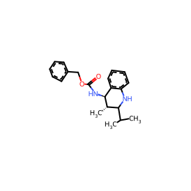 CC(C)C1Nc2ccccc2[C@H](NC(=O)OCc2ccccc2)[C@H]1C